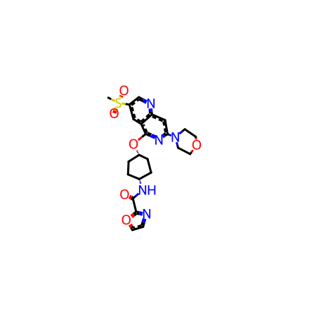 CS(=O)(=O)c1cnc2cc(N3CCOCC3)nc(O[C@H]3CC[C@@H](NC(=O)c4ncco4)CC3)c2c1